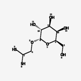 OC[C@H]1O[C@H](OCC(S)S)[C@H](O)[C@@H](O)[C@H]1O